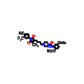 COc1ccc(OC)c(NC(=O)N2CCN(CCCCC3=C(C)C(=O)N(c4ccc(C#N)c(C(F)(F)F)c4)C3=O)CC2)c1